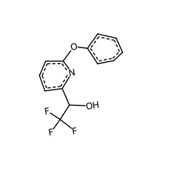 OC(c1cccc(Oc2ccccc2)n1)C(F)(F)F